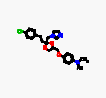 CC(=O)N(C)c1ccc(OCC2COC(CCc3ccc(Cl)cc3)(Cn3ccnc3)O2)cc1